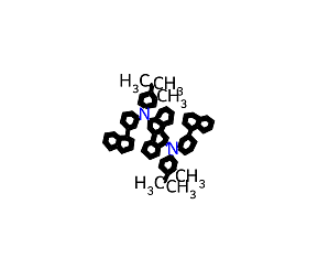 Cc1cc(N(c2cccc(-c3cccc4ccccc34)c2)c2cc3c4ccccc4c(N(c4cccc(-c5cccc6ccccc56)c4)c4ccc(C(C)C)c(C)c4)cc3c3ccccc23)ccc1C(C)C